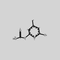 Cc1cc(Cl)nc(OC(=O)O)c1